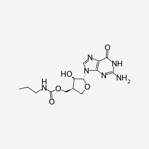 CCCNC(=O)OC[C@@H]1CO[C@@H](n2cnc3c(=O)[nH]c(N)nc32)[C@@H]1O